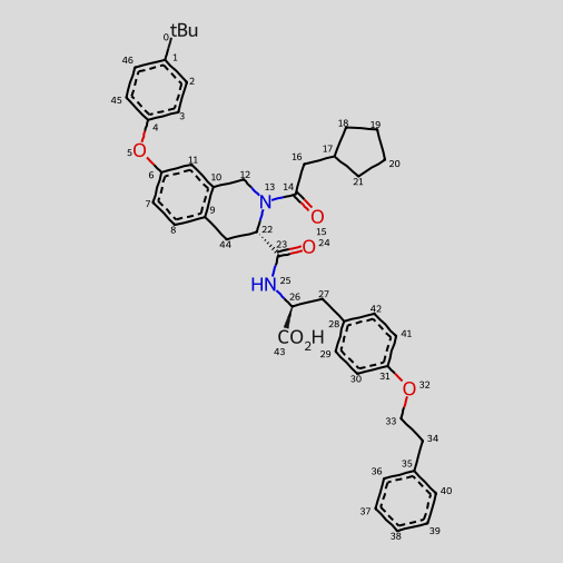 CC(C)(C)c1ccc(Oc2ccc3c(c2)CN(C(=O)CC2CCCC2)[C@H](C(=O)N[C@@H](Cc2ccc(OCCc4ccccc4)cc2)C(=O)O)C3)cc1